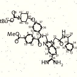 COC(=O)c1ccc(C(=O)N(Cc2nc3cc(C(=N)N)ccc3n2CC(=O)NC(C)c2ccccc2)c2ccc(OC3CCN(C(=O)OC(C)(C)C)CC3)cc2)cc1